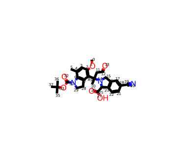 COc1cc(C)c2c(c1C(C)(CC=O)N1Cc3cc(C#N)ccc3C1C(=O)O)CCN2C(=O)OC(C)(C)C